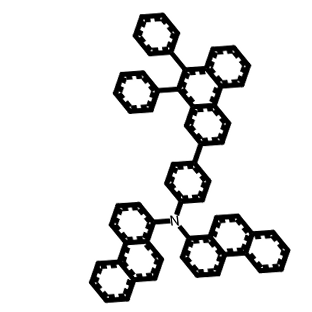 c1ccc(-c2c(-c3ccccc3)c3cc(-c4ccc(N(c5cccc6c5ccc5ccccc56)c5cccc6c5ccc5ccccc56)cc4)ccc3c3ccccc23)cc1